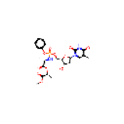 Cc1cn([C@H]2C[C@H](O)[C@@H](COP(=O)(N[C@@H](C)C(=O)O[C@@H](C)C(=O)OC(C)C)Oc3ccccc3)O2)c(=O)[nH]c1=O